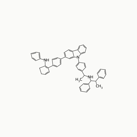 CC(NC(c1ccccc1)C(C)c1ccccc1)c1ccc(-n2c3ccccc3c3ccc(-c4ccc(C5=C(Nc6ccccc6)CCC=C5)cc4)cc32)cc1